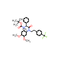 COc1ccc(N(CCc2ccc(C(F)(F)F)cc2)C(=O)C(c2ccccc2)N(C)C(=O)OC(C)(C)C)cc1OC